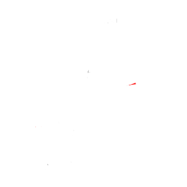 CC(=O)[C@H]1CCC2C3C[C@H](O)C4CC(C(C)(C)C)CC[C@]4(C)C3CC(=O)[C@@]21C